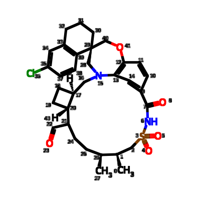 C[C@@H]1CS(=O)(=O)NC(=O)c2ccc3c(c2)N(C[C@@H]2CC[C@H]2C(C=O)CC[C@@H]1C)C[C@@]1(CCCc2cc(Cl)ccc21)CO3